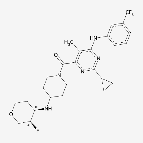 Cc1c(Nc2cccc(C(F)(F)F)c2)nc(C2CC2)nc1C(=O)N1CCC(N[C@@H]2CCOC[C@@H]2F)CC1